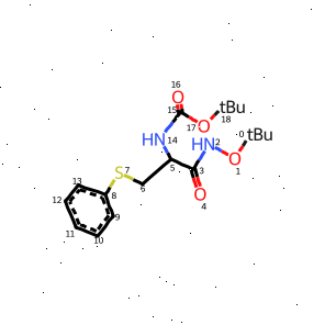 CC(C)(C)ONC(=O)C(CSc1ccccc1)NC(=O)OC(C)(C)C